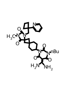 CCCCN1C(=O)C(=C(N)N)C(=O)N(C2CCC3(CC2)CC2(C3)C(=O)N(C)C(=O)N2CC2(c3ccccn3)CCC2)C1=O